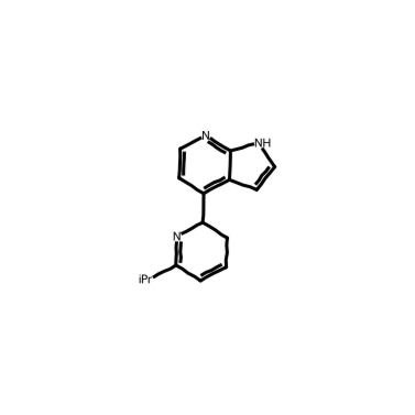 CC(C)C1=NC(c2ccnc3[nH]ccc23)CC=C1